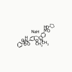 COc1cc(C(=O)NS(=O)(=O)c2ccccc2)ccc1Cc1cn(C)c2ccc(NC(=O)OC3CCCC3)cc12.[NaH]